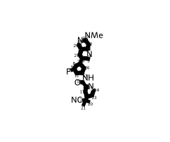 CNc1cc2ncc(-c3cc(F)cc(NC(=O)c4cc(C(C)(C)C#N)ccn4)c3)cc2cn1